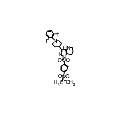 CN(C)S(=O)(=O)c1ccc(S(=O)(=O)n2nc(C3CCN(c4c(F)cccc4F)CC3)c3c2CCCN3)cc1